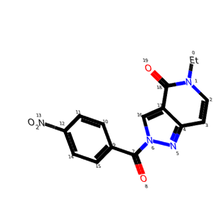 CCn1ccc2nn(C(=O)c3ccc([N+](=O)[O-])cc3)cc2c1=O